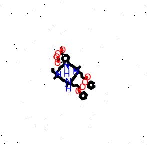 C=CC1=C(C)c2cc3[nH]c(cc4nc(cc5[nH]c(cc1n2)[C@@]1(C)C5=CC=C(C(=O)OC)[C@H]1C(=O)OC)C(C)=C4CCC(=O)Oc1ccccc1)c(CCC(=O)Oc1ccccc1)c3C